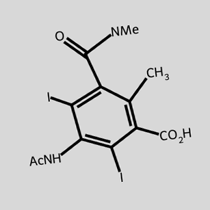 CNC(=O)c1c(C)c(C(=O)O)c(I)c(NC(C)=O)c1I